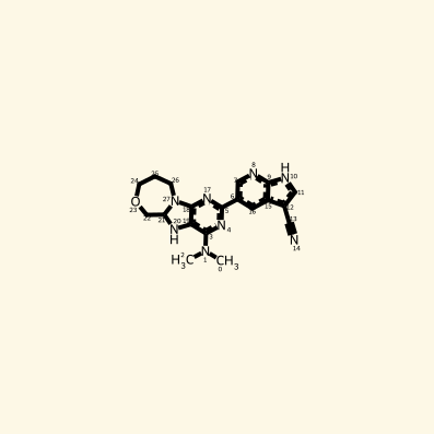 CN(C)c1nc(-c2cnc3[nH]cc(C#N)c3c2)nc2c1NC1COCCCN21